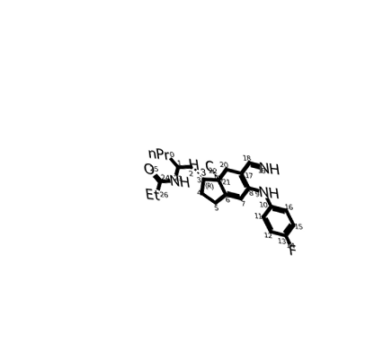 CCCC(C[C@H]1CCC2=CC(Nc3ccc(F)cc3)=C(C=N)C[C@@]21C)NC(=O)CC